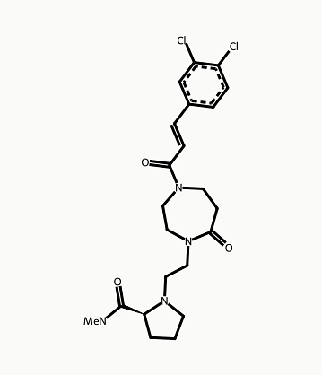 CNC(=O)[C@@H]1CCCN1CCN1CCN(C(=O)/C=C/c2ccc(Cl)c(Cl)c2)CCC1=O